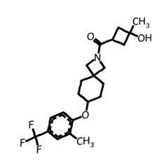 Cc1cc(C(F)(F)F)ccc1OC1CCC2(CC1)CN(C(=O)C1CC(C)(O)C1)C2